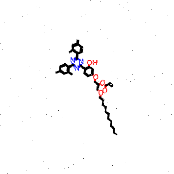 C=CC(=O)OC(COCCCCCCCCCCCC)COc1ccc(-c2nc(-c3ccc(C)cc3C)nc(-c3ccc(C)cc3C)n2)c(O)c1